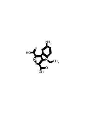 CCn1c2ccc(N)cc2c2c(C(=O)O)nnc(C(=O)O)c21